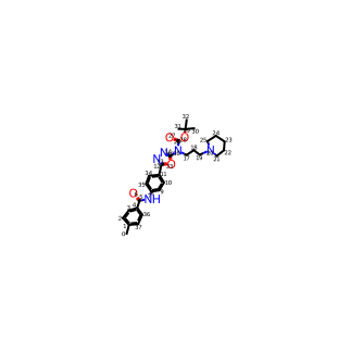 Cc1ccc(C(=O)Nc2ccc(-c3nnc(N(CCCN4CCCCC4)C(=O)OC(C)(C)C)o3)cc2)cc1